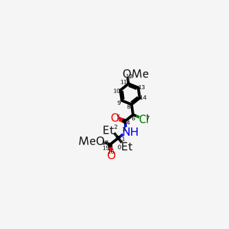 CCC(CC)(NC(=O)C(Cl)c1ccc(OC)cc1)C(=O)OC